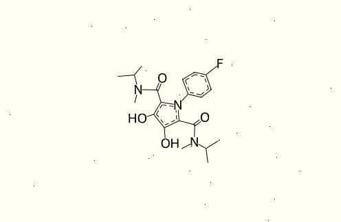 CC(C)N(C)C(=O)c1c(O)c(O)c(C(=O)N(C)C(C)C)n1-c1ccc(F)cc1